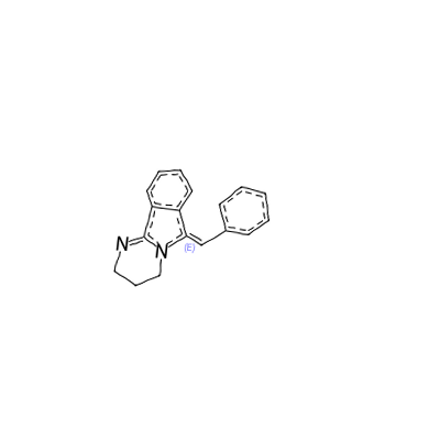 C(/c1ccccc1)=c1/c2ccccc2c2n1CCCN=2